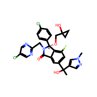 Cn1cc(C(C)(O)c2cc(F)c3c(c2)C(=O)N(Cc2ncc(Cl)cn2)[C@@]3(OCC2(O)CC2)c2ccc(Cl)cc2)cn1